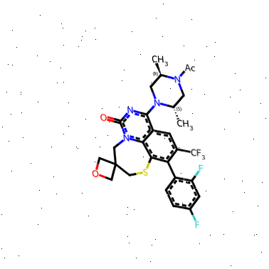 CC(=O)N1C[C@H](C)N(c2nc(=O)n3c4c(c(-c5ccc(F)cc5F)c(C(F)(F)F)cc24)SCC2(COC2)C3)C[C@H]1C